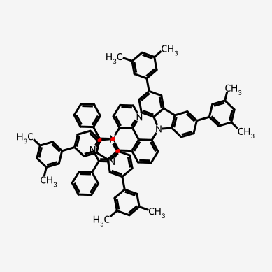 Cc1cc(C)cc(-c2ccc3c(c2)c2cc(-c4cc(C)cc(C)c4)ccc2n3-c2cccnc2-c2c(-c3nc(-c4ccccc4)nc(-c4ccccc4)n3)cccc2-n2c3ccc(-c4cc(C)cc(C)c4)cc3c3cc(-c4cc(C)cc(C)c4)ccc32)c1